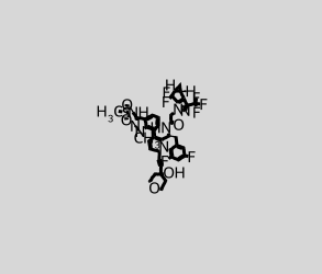 Cn1nc(NS(C)(=O)=O)c2cccc(-c3ccc(C#CC4(O)CCOCC4)nc3[C@H](Cc3cc(F)cc(F)c3)NC(=O)Cn3nc(C(F)(F)F)c4c3C(F)(F)[C@@H]3C[C@H]43)c21